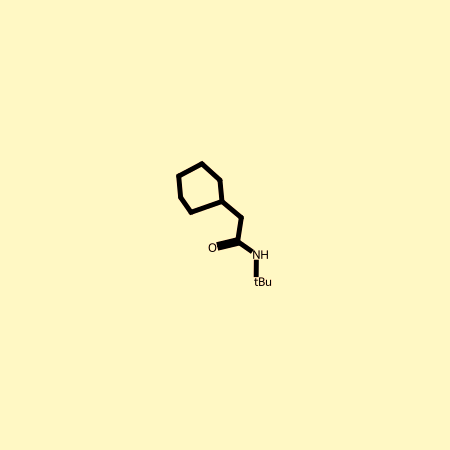 CC(C)(C)NC(=O)CC1CCCCC1